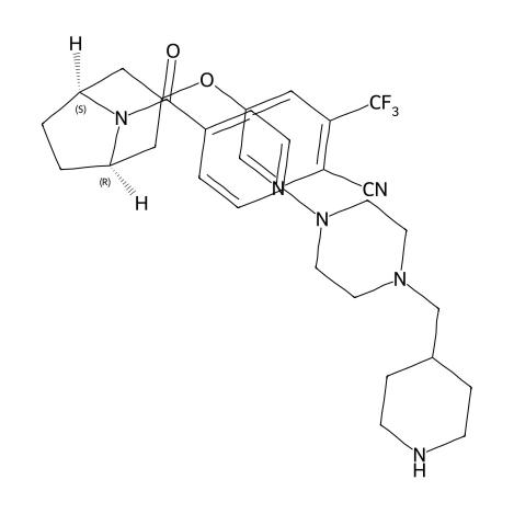 N#Cc1ncc(OC2C[C@H]3CC[C@@H](C2)N3C(=O)c2ccc(N3CCN(CC4CCNCC4)CC3)cc2)cc1C(F)(F)F